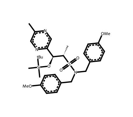 COc1ccc(CN(Cc2ccc(OC)cc2)S(=O)(=O)[C@@H](C)[C@@H](O[Si](C)(C)C(C)(C)C)c2cnc(C)cn2)cc1